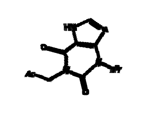 CCCn1c(=O)n(CC(C)=O)c(=O)c2[nH]cnc21